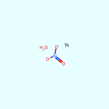 O.O=[N+]([O-])[O-].[Th]